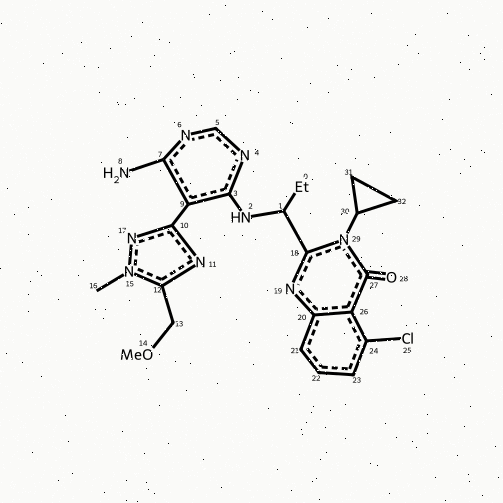 CCC(Nc1ncnc(N)c1-c1nc(COC)n(C)n1)c1nc2cccc(Cl)c2c(=O)n1C1CC1